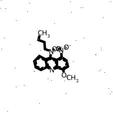 CCCCN(O)c1c2ccccc2nc2c(OC)ccc([N+](=O)[O-])c12